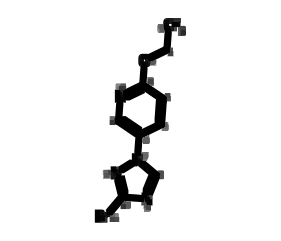 FC(F)(F)COc1ccc(-n2cnc(Br)n2)cn1